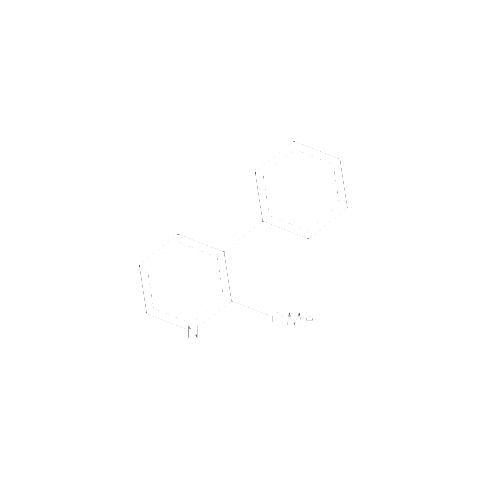 COc1nc[c]cc1-c1ccccc1